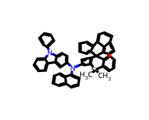 C[Si]1(C)c2ccccc2C2(c3ccccc3-c3cccc4cccc2c34)c2ccc(N(c3ccc4c(c3)c3ccccc3n4-c3ccccc3)c3cccc4ccccc34)cc21